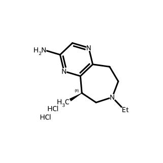 CCN1CCc2ncc(N)nc2[C@H](C)C1.Cl.Cl